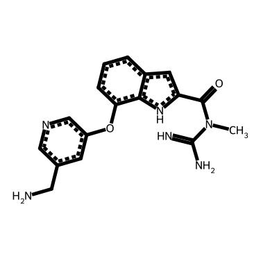 CN(C(=N)N)C(=O)c1cc2cccc(Oc3cncc(CN)c3)c2[nH]1